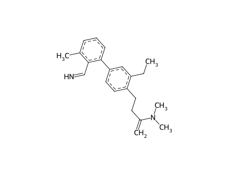 C=C(CCc1ccc(-c2cccc(C)c2C=N)cc1CC)N(C)C